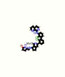 COc1nc(-c2cccc(-c3cccc(Nc4nccc5cccnc45)c3Cl)c2Cl)cc2c1C(NCC1CCC(=O)N1)CC2